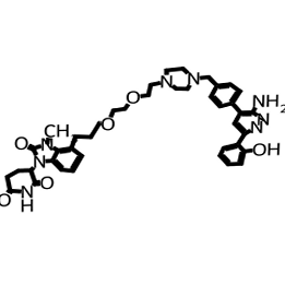 Cn1c(=O)n(C2CCC(=O)NC2=O)c2cccc(CCCOCCOCCN3CCN(Cc4ccc(-c5cc(-c6ccccc6O)nnc5N)cc4)CC3)c21